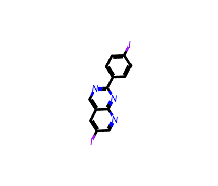 Ic1ccc(-c2ncc3cc(I)cnc3n2)cc1